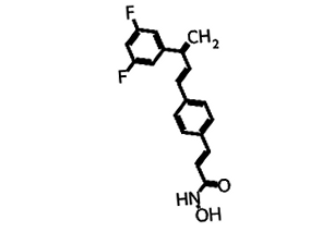 C=C(/C=C/c1ccc(/C=C/C(=O)NO)cc1)c1cc(F)cc(F)c1